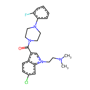 CN(C)CCn1cc(C(=O)N2CCN(c3ccccc3F)CC2)c2ccc(Cl)cc21